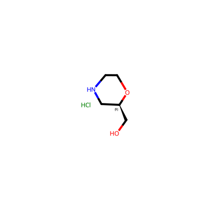 Cl.OC[C@H]1CNCCO1